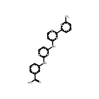 Cc1cccc(-c2nccc(Nc3ccnc(Nc4cccc(C(=O)O)c4)n3)n2)n1